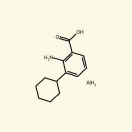 Nc1c(C(=O)O)cccc1C1CCCCC1.[AlH3]